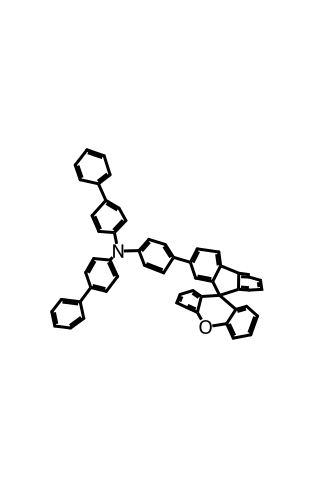 c1ccc(-c2ccc(N(c3ccc(-c4ccccc4)cc3)c3ccc(-c4ccc5c(c4)C4(c6ccccc6Oc6ccccc64)c4ccccc4-5)cc3)cc2)cc1